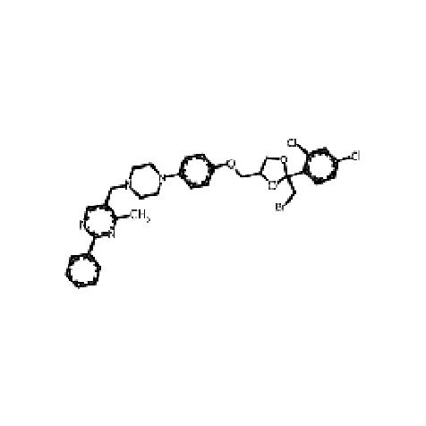 Cc1nc(-c2ccccc2)ncc1CN1CCN(c2ccc(OCC3COC(CBr)(c4ccc(Cl)cc4Cl)O3)cc2)CC1